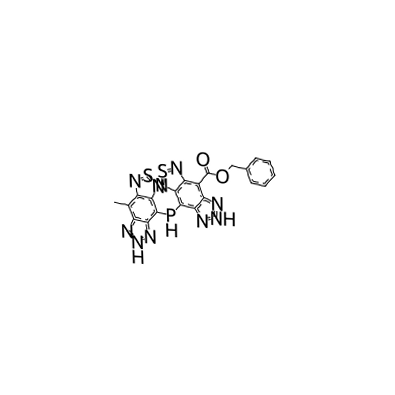 Cc1c2c(c(Pc3c4c(c(C(=O)OCc5ccccc5)c5n[nH]nc35)N=S=N4)c3n[nH]nc13)N=S=N2